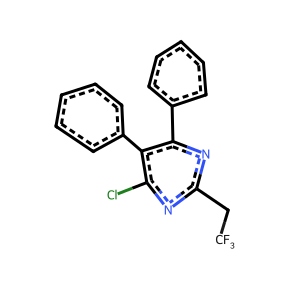 FC(F)(F)Cc1nc(Cl)c(-c2ccccc2)c(-c2ccccc2)n1